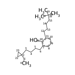 CCC1(CCCCc2cccc(CCCCC(C)(C)C)c2O)CC1